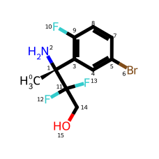 C[C@@](N)(c1cc(Br)ccc1F)C(F)(F)CO